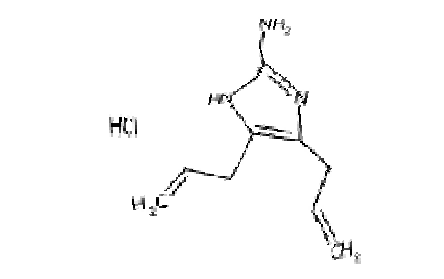 C=CCc1nc(N)[nH]c1CC=C.Cl